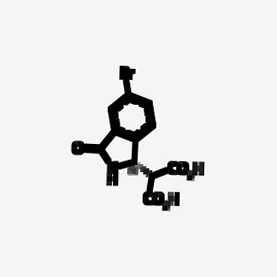 O=C1N[C@@H](C(C(=O)O)C(=O)O)c2ccc(Br)cc21